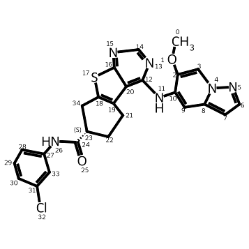 COc1cn2nccc2cc1Nc1ncnc2sc3c(c12)CC[C@H](C(=O)Nc1cccc(Cl)c1)C3